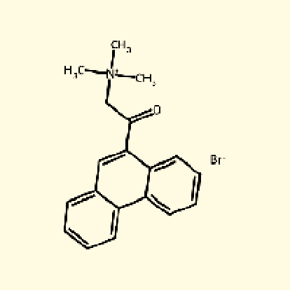 C[N+](C)(C)CC(=O)c1cc2ccccc2c2ccccc12.[Br-]